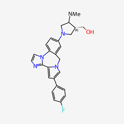 CNC1CN(c2ccc3c(c2)Cn2cc(-c4ccc(F)cc4)cc2-c2nccn2-3)C[C@H]1CO